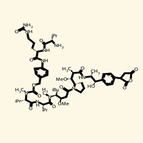 CC[C@H](C)[C@@H]([C@@H](CC(=O)N1CCC[C@H]1[C@H](OC)[C@@H](C)C(=O)N[C@H](C)[C@@H](O)c1ccc(C2CC(=O)OC2=O)cc1)OC)N(C)C(=O)[C@@H](NC(=O)[C@H](C(C)C)N(C)C(=O)OCc1ccc(NC(=O)[C@H](CCCNC(N)=O)NC(=O)[C@@H](N)C(C)C)cc1)C(C)C